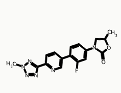 CC1CN(c2ccc(-c3ccc(-c4nnn(C)n4)nc3)c(F)c2)C(=O)O1